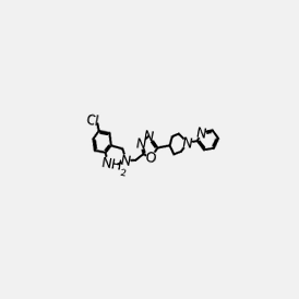 CN(Cc1nnc(C2CCN(c3ccccn3)CC2)o1)Cc1cc(Cl)ccc1N